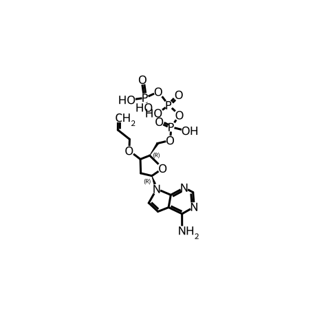 C=CCOC1C[C@H](n2ccc3c(N)ncnc32)O[C@@H]1COP(=O)(O)OP(=O)(O)OP(=O)(O)O